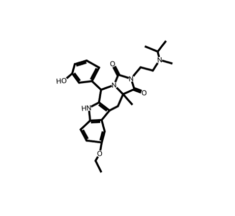 CCOc1ccc2[nH]c3c(c2c1)CC1(C)C(=O)N(CCN(C)C(C)C)C(=O)N1C3c1cccc(O)c1